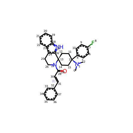 CN(C)[C@]1(c2ccc(F)cc2)CC[C@]2(CC1)c1[nH]c3ccccc3c1CCN2C(=O)/C=C/c1ccccc1